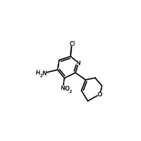 Nc1cc(Cl)nc(C2=CCOCC2)c1[N+](=O)[O-]